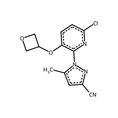 Cc1cc(C#N)nn1-c1nc(Cl)ccc1OC1COC1